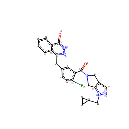 O=C(c1cc(Cc2n[nH]c(=O)c3ccccc23)ccc1F)N1Cc2cnn(CC3CC3)c2C1